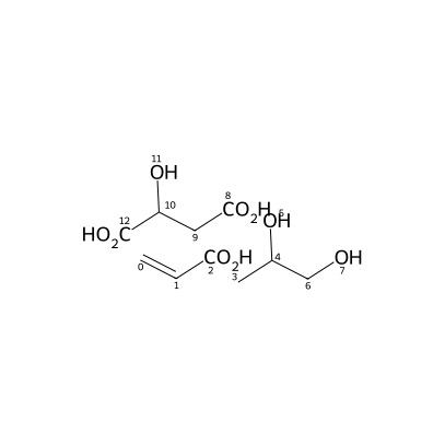 C=CC(=O)O.CC(O)CO.O=C(O)CC(O)C(=O)O